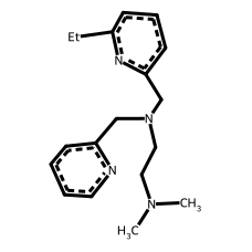 CCc1cccc(CN(CCN(C)C)Cc2ccccn2)n1